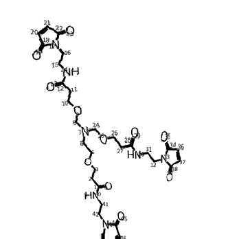 O=C(CCOCCN(COCCC(=O)NCCN1C(=O)C=CC1=O)COCCC(=O)NCCN1C(=O)C=CC1=O)NCCN1C(=O)C=CC1=O